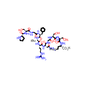 CC[C@H](C)[C@H](NC(=O)[C@H](Cc1ccccc1)NC(=O)CNC(=O)[C@H](CO)NC(=O)[C@@H]1CCCN1)C(=O)N[C@@H](CCCNC(=N)N)C(=O)N[C@@H](CC(N)=O)C(=O)NCC(=O)N[C@@H](CO)C(=O)N[C@@H](CO)C(=O)N[C@@H](CCSC)C(=O)O